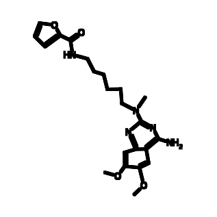 COc1cc2nc(N(C)CCCCCCNC(=O)c3ccco3)nc(N)c2cc1OC